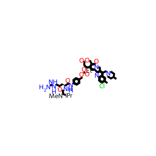 CC[C@@]1(OC(=O)OCc2ccc(NC(=O)[C@H](CCCNC(=N)N)NC(=O)[C@@H](NC)C(C)C)cc2)CC(=O)OCc2c1cc1n(c2=O)Cc2c-1nc1cc(Cl)c(C)cc1c2CN1CCC(C)CC1